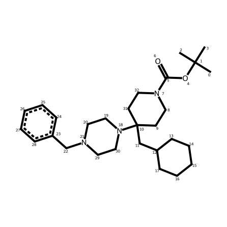 CC(C)(C)OC(=O)N1CCC(CC2CCCCC2)(N2CCN(Cc3ccccc3)CC2)CC1